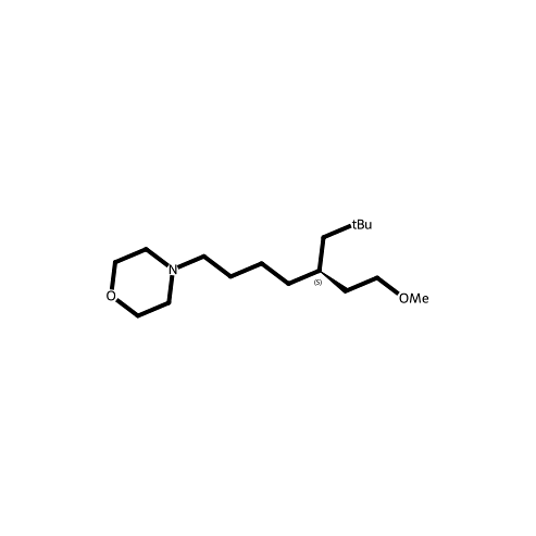 COCC[C@@H](CCCCN1CCOCC1)CC(C)(C)C